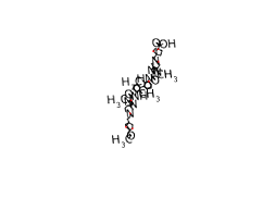 CCc1c(NC(=O)c2nc3c(n2C)CCN(CC24CCC(C(=O)O)(CC2)C4)C3)cccc1-c1cccc(NC(=O)c2nc3c(n2C)CCN(CCC24CCC(COC)(CC2)C4)C3)c1C